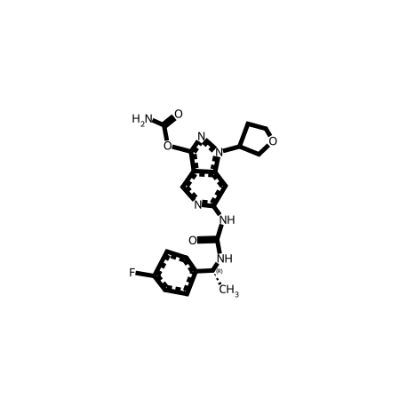 C[C@@H](NC(=O)Nc1cc2c(cn1)c(OC(N)=O)nn2C1CCOC1)c1ccc(F)cc1